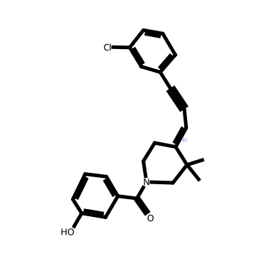 CC1(C)CN(C(=O)c2cccc(O)c2)CC/C1=C\C#Cc1cccc(Cl)c1